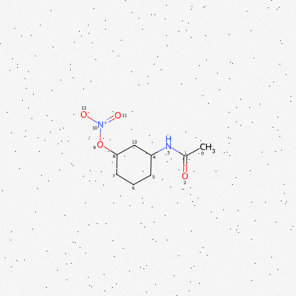 CC(=O)NC1CCCC(O[N+](=O)[O-])C1